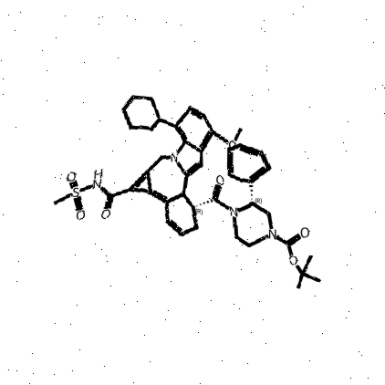 COc1ccc(C2CCCCC2)c2c1cc1n2CC2=C(C(=O)NS(C)(=O)=O)C2=C2C=CC[C@@H](C(=O)N3CCN(C(=O)OC(C)(C)C)C[C@H]3c3ccccc3)C21